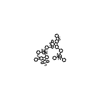 c1ccc(-c2cc(-c3cccc(-c4ccc5c(c4)-c4cc6sc7ccccc7c6cc4C54c5ccccc5Sc5c(-c6cccc(-c7nc(-c8ccccc8)cc(-c8cccc9c8-c8cc%10sc%11ccccc%11c%10cc8C98c9ccccc9Sc9ccccc98)n7)c6)cccc54)c3)nc(-c3ccccc3)n2)cc1